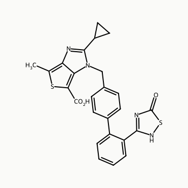 Cc1sc(C(=O)O)c2c1nc(C1CC1)n2Cc1ccc(-c2ccccc2-c2nc(=O)s[nH]2)cc1